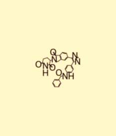 Cn1cnc(-c2ccc3c(c2)CN(C2CCC(=O)NC2=O)C3=O)c1-c1ccc(NC(=O)c2ccccc2)cc1